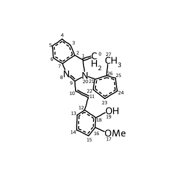 C=C1c2ccccc2N=C(/C=C/c2cccc(OC)c2O)N1c1ccccc1C